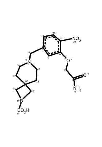 NC(=O)COc1cc(CN2CCC3(CC2)CN(C(=O)O)C3)ccc1[N+](=O)[O-]